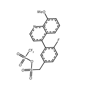 COc1cccc2c(-c3cc(CS(=O)(=O)OS(=O)(=O)C(F)(F)F)ccc3F)ccnc12